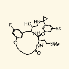 CCc1cccc(C2(NCC(O)C3Cc4cc(F)cc(c4)OCCCCCC(=O)NC(CCSC)C(=O)N3)CC2)c1